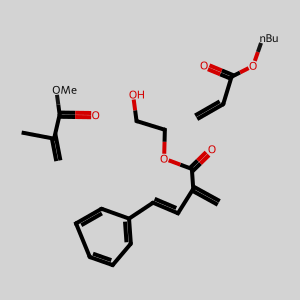 C=C(C)C(=O)OC.C=C(C=Cc1ccccc1)C(=O)OCCO.C=CC(=O)OCCCC